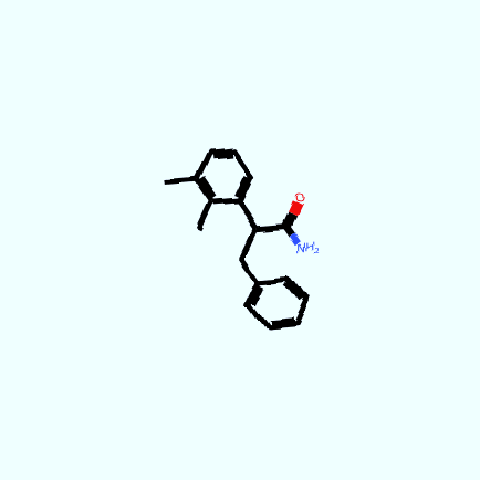 Cc1cccc(C(Cc2ccccc2)C(N)=O)c1C